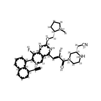 C#Cc1cccc2cccc(-c3ncc4c(C=C(F)C(=O)N5CCN[C@@H](CC#N)C5)nc(OC[C@@H]5CCCN5C)nc4c3F)c12